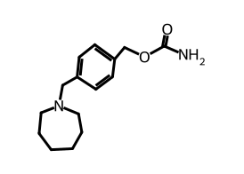 NC(=O)OCc1ccc(CN2CCCCCC2)cc1